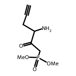 C#CCC(N)C(=O)CP(=O)(OC)OC